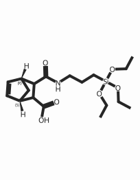 CCO[Si](CCCNC(=O)C1C(C(=O)O)[C@@H]2C=C[C@H]1C2)(OCC)OCC